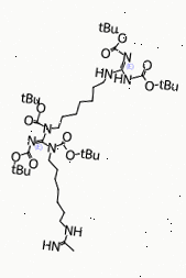 CC(=N)NCCCCCCCN(C(=O)OC(C)(C)C)/C(=N\C(=O)OC(C)(C)C)N(CCCCCCCN/C(=N\C(=O)OC(C)(C)C)NC(=O)OC(C)(C)C)C(=O)OC(C)(C)C